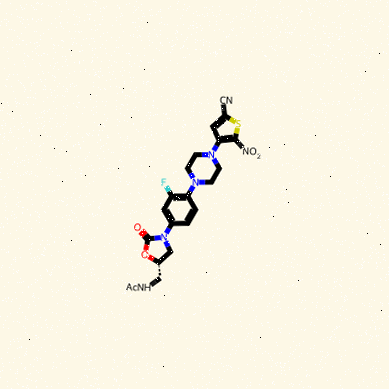 CC(=O)NC[C@H]1CN(c2ccc(N3CCN(c4cc(C#N)sc4[N+](=O)[O-])CC3)c(F)c2)C(=O)O1